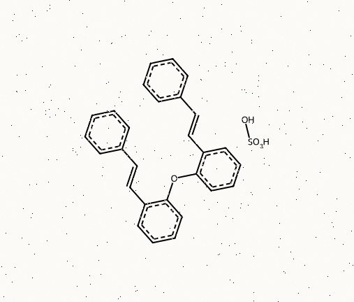 C(=Cc1ccccc1Oc1ccccc1C=Cc1ccccc1)c1ccccc1.O=S(=O)(O)O